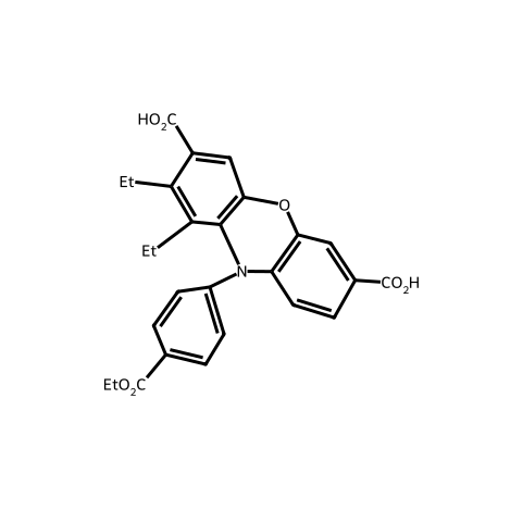 CCOC(=O)c1ccc(N2c3ccc(C(=O)O)cc3Oc3cc(C(=O)O)c(CC)c(CC)c32)cc1